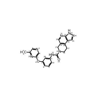 Cc1cncc(Oc2cccc(NC(=O)N3CCc4c(cnc5[nH]ncc45)C3)c2)n1